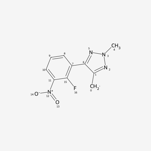 [CH2]c1nn(C)nc1-c1cccc([N+](=O)[O-])c1F